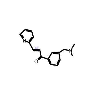 CN(C)Cc1cccc(C(=O)/C=C/c2ccccn2)c1